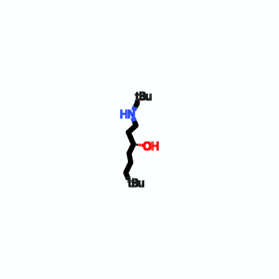 CC(C)(C)CCC[C@@H](O)CCNCC(C)(C)C